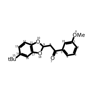 COc1cccc(C(=O)CC2Oc3ccc(C(C)(C)C)cc3O2)c1